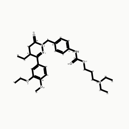 CCOc1cc(C2=NN(Cc3ccc(NC(=O)OCCCN(CC)CC)cc3)C(=O)CC2CC)ccc1OC